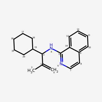 C=C(C)C(Nc1nccc2ccccc12)C1CCCCC1